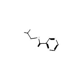 CC(C)CNC(=O)c1cnccn1